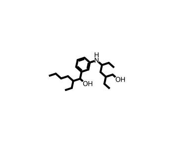 CCCCC(CC)C(O)c1cccc(NC(CC)CC(CC)CO)c1